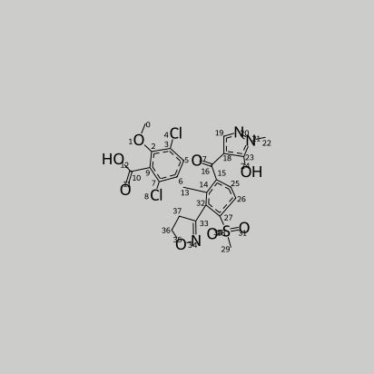 COc1c(Cl)ccc(Cl)c1C(=O)O.Cc1c(C(=O)c2cnn(C)c2O)ccc(S(C)(=O)=O)c1C1=NOCC1